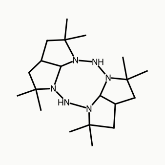 CC1(C)CC2CC(C)(C)N3NN4C5C(CC(C)(C)N5NN1C23)CC4(C)C